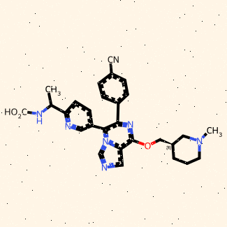 CC(NC(=O)O)c1ccc(-c2c(-c3ccc(C#N)cc3)nc(OC[C@@H]3CCCN(C)C3)c3cncn23)cn1